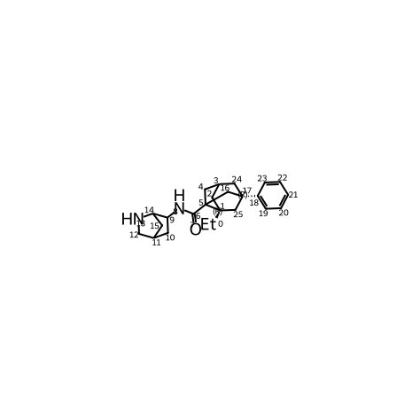 CC[C@]12CC3CC1(C(=O)NC1CC4CNC1C4)C[C@@](c1ccccc1)(C3)C2